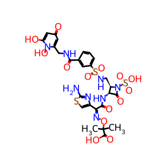 CC(C)(O/N=C(\C(=O)N[C@@H]1C(=O)N(S(=O)(=O)O)[C@@H]1CNS(=O)(=O)c1cccc(C(=O)NCc2cc(=O)cc(O)n2O)c1)c1csc(N)n1)C(=O)O